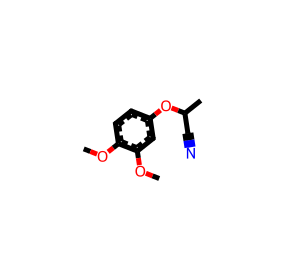 COc1ccc(OC(C)C#N)cc1OC